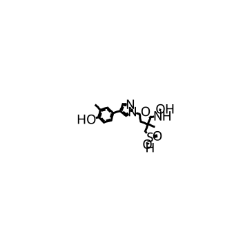 Cc1cc(-c2cnn(CCC(C)(C[SH](=O)=O)C(=O)NO)c2)ccc1O